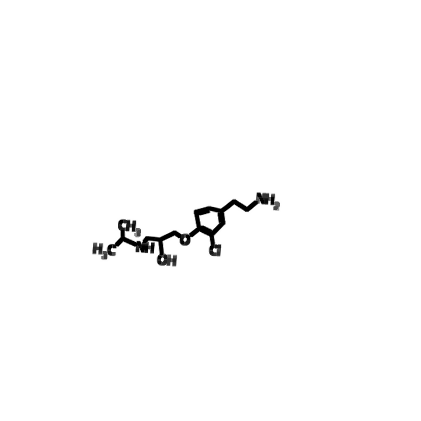 CC(C)NCC(O)COc1ccc(CCN)cc1Cl